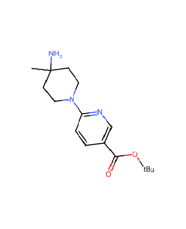 CC1(N)CCN(c2ccc(C(=O)OC(C)(C)C)cn2)CC1